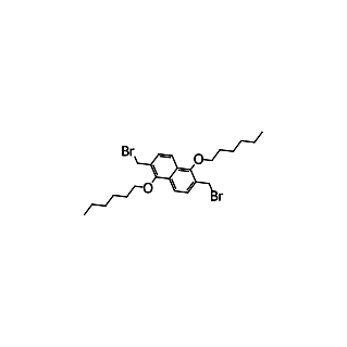 CCCCCCOc1c(CBr)ccc2c(OCCCCCC)c(CBr)ccc12